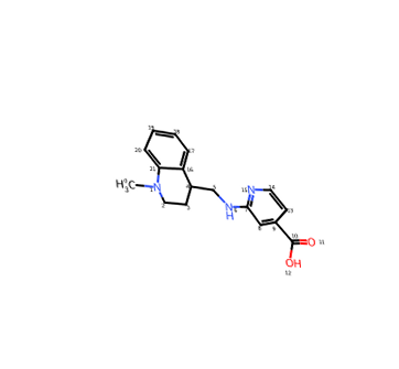 CN1CCC(CNc2cc(C(=O)O)ccn2)c2ccccc21